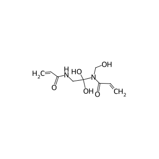 C=CC(=O)NCC(O)(O)N(CO)C(=O)C=C